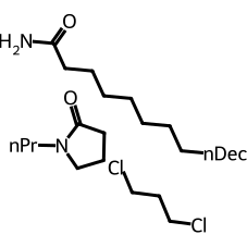 CCCCCCCCCCCCCCCCCC(N)=O.CCCN1CCCC1=O.ClCCCCl